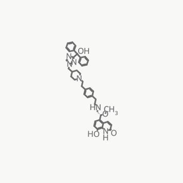 CO[C@@H](CNCCc1ccc(CCN2CCC(Cn3cnc(C(O)(c4ccccc4)c4ccccc4)n3)CC2)cc1)c1ccc(O)c2[nH]c(=O)ccc12